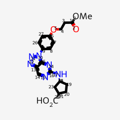 COC(=O)CCOc1ccc(-n2nnc3cnc(N[C@@H]4CC[C@@H](C(=O)O)C4)nc32)cc1